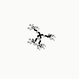 C[Si](C)(C)CCOCC(COCC[Si](C)(C)C)(COCC[Si](C)(C)C)COCC[Si](C)(C)C